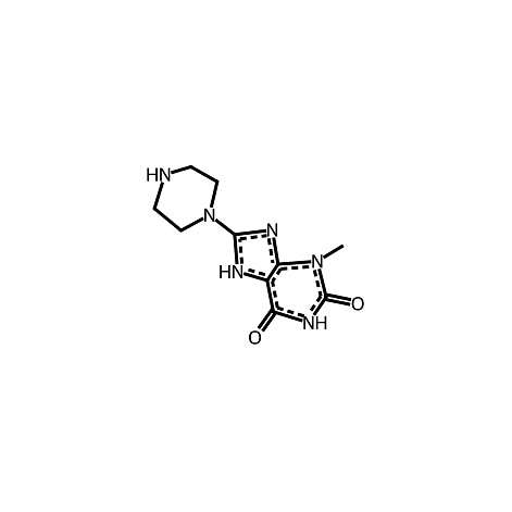 Cn1c(=O)[nH]c(=O)c2[nH]c(N3CCNCC3)nc21